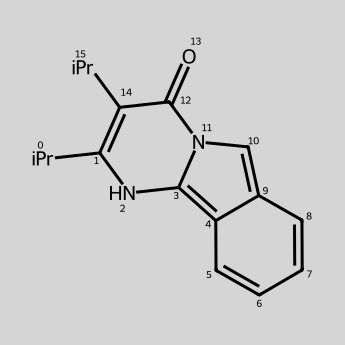 CC(C)c1[nH]c2c3ccccc3cn2c(=O)c1C(C)C